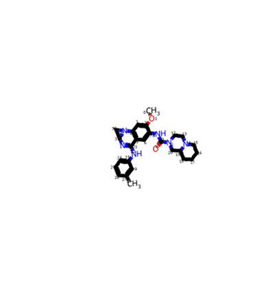 COc1cc2c(cc1NC(=O)N1CCN3CCCCC3C1)C(Nc1cccc(C)c1)=NC1CN21